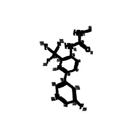 CNC(=O)Nc1ccc(-c2cncc(F)c2)nc1C(F)(F)F